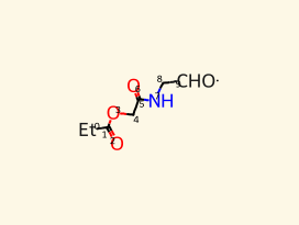 CCC(=O)OCC(=O)NC[C]=O